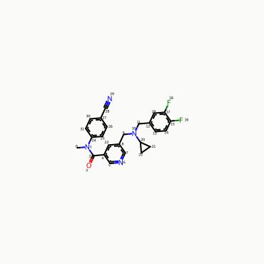 CN(C(=O)c1cncc(CN(Cc2ccc(F)c(F)c2)C2CC2)c1)c1ccc(C#N)cc1